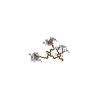 CCCCC(CC)Cc1sc(CC(CC)CCCC)c2c1C(=O)c1c(-c3cccs3)sc(-c3ccc(-c4cc5c(-c6ccc(CCCCCC[Si](C)(O[Si](C)(C)C)O[Si](C)(C)C)s6)c6sccc6c(-c6ccc(CCCCCC[Si](C)(O[Si](C)(C)C)O[Si](C)(C)C)s6)c5s4)s3)c1C2=O